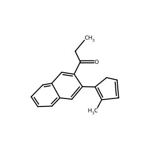 CCC(=O)c1cc2ccccc2cc1C1=C(C)C=CC1